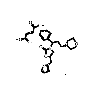 O=C(O)/C=C/C(=O)O.O=C1OC(Cc2cccs2)CN1C(CCN1CCOCC1)c1ccccc1